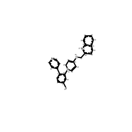 Fc1ccc(-c2ccncc2)c(N2C=CC(OCc3ccc4ccccc4n3)=CC2)c1